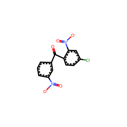 O=C(c1cccc([N+](=O)[O-])c1)c1ccc(Cl)cc1[N+](=O)[O-]